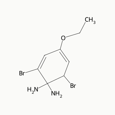 CCOC1=CC(Br)C(N)(N)C(Br)=C1